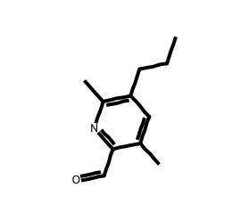 CCCc1cc(C)c(C=O)nc1C